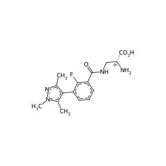 Cc1nn(C)c(C)c1-c1cccc(C(=O)NC[C@@H](N)C(=O)O)c1F